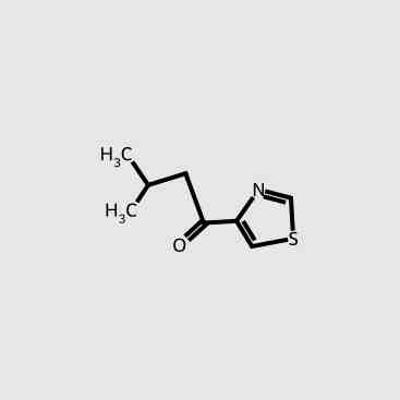 CC(C)CC(=O)c1cscn1